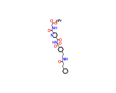 CCCOC(=O)CNC(=O)c1ccc(C(=O)NS(=O)(=O)c2ccc(CCNC(=O)CCc3ccccc3)cc2)cn1